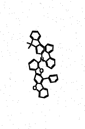 CC1(C)c2ccccc2-c2ccc(N(c3ccccc3-c3ccccc3)c3cccc4c3oc3c(-c5ccccc5)c5c(cc34)oc3ccccc35)cc21